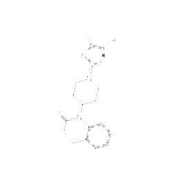 Cc1nc(N2CCC(N3C(=O)OCc4ccccc43)CC2)sc1C(C)C